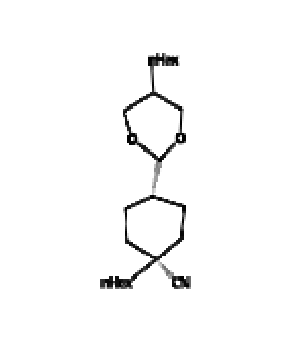 CCCCCCC1COC([C@H]2CC[C@](C#N)(CCCCCC)CC2)OC1